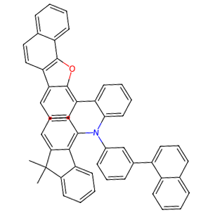 CC1(C)c2ccccc2-c2c(N(c3cccc(-c4cccc5ccccc45)c3)c3ccccc3-c3cccc4c3oc3c5ccccc5ccc43)cccc21